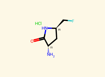 Cl.N[C@H]1C[C@H](CF)NC1=O